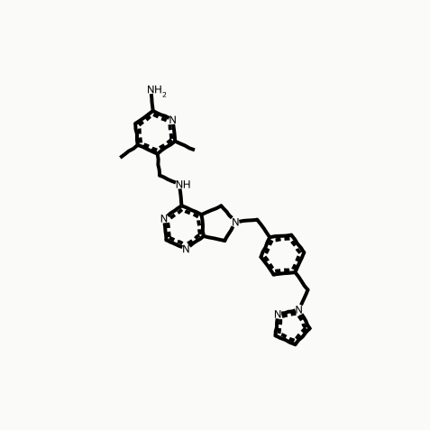 Cc1cc(N)nc(C)c1CNc1ncnc2c1CN(Cc1ccc(Cn3cccn3)cc1)C2